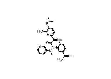 CC(C)Oc1ccc(C(Nc2ccc(C(=N)N)cc2)C(=O)NN(C)c2ccccc2)cc1O